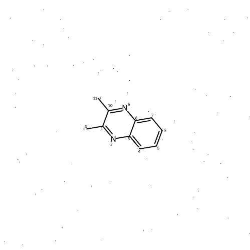 [CH]c1nc2ccccc2nc1[CH]